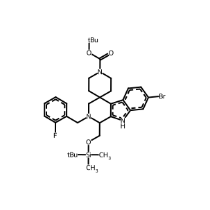 CC(C)(C)OC(=O)N1CCC2(CC1)CN(Cc1ccccc1F)C(CO[Si](C)(C)C(C)(C)C)c1[nH]c3cc(Br)ccc3c12